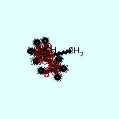 C=CCCCCCCCCOC1OC(COC2OC(COC(=O)c3ccccc3)C(OC(=O)c3ccccc3)C(OC(=O)c3ccccc3)C2OC(=O)c2ccccc2)C(O)C(OC2OC(COC(=O)c3ccccc3)C(OC(=O)c3ccccc3)C(OC(=O)c3ccccc3)C2OC(=O)c2ccccc2)C1OC(C)=O